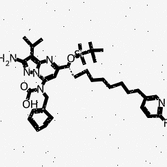 CC(C)c1c(N)nn2c(N(Cc3ccccc3)C(=O)O)cc([C@@H](CCCCCCCCc3ccc(F)nc3)O[Si](C)(C)C(C)(C)C)nc12